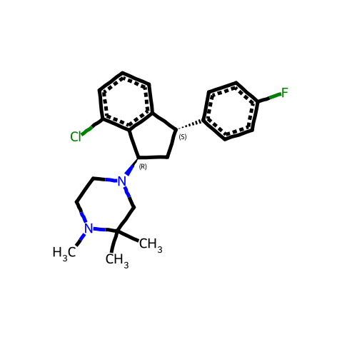 CN1CCN([C@@H]2C[C@@H](c3ccc(F)cc3)c3cccc(Cl)c32)CC1(C)C